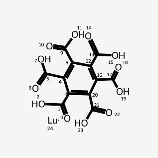 O=C(O)c1c(C(=O)O)c(C(=O)O)c(C(=O)O)c(C(=O)O)c1C(=O)O.[Lu]